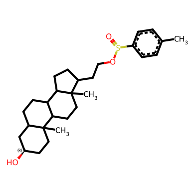 Cc1ccc(S(=O)OCCC2CCC3C4CCC5C[C@H](O)CCC5(C)C4CCC23C)cc1